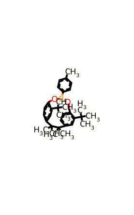 Cc1ccc(P2Oc3ccc(cc3C(C)(C)C)C(C)(C)C(C)(C)c3ccc(c(C(C)(C)C)c3)O2)cc1